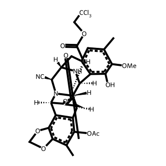 COc1c(C)cc2c(c1O)[C@@H]1N[C@@H](C2)[C@H](C#N)N2[C@H]1[C@@H]1SC[C@H](NC(=O)OCC(Cl)(Cl)Cl)C(=O)OC[C@H]2c2c3c(c(C)c(OC(C)=O)c21)OCO3